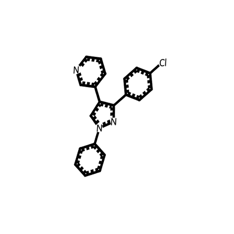 Clc1ccc(-c2nn(-c3ccccc3)cc2-c2cccnc2)cc1